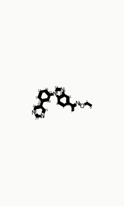 CCON=C(C)c1ccc2c(c1)ncn2-c1cccc(-c2cncnc2)c1